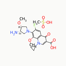 COc1c(N2C[C@H](N)[C@H](OC)C2)c(F)cc2c(=O)c(C(=O)O)cn(C3CC3)c12.CS(=O)(=O)O